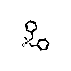 CP(=O)(Cc1ccccc1)Cc1ccccc1